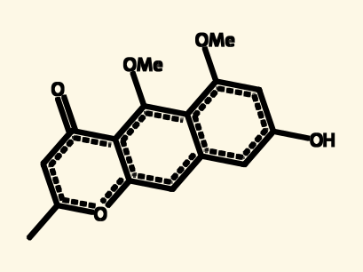 COc1cc(O)cc2cc3oc(C)cc(=O)c3c(OC)c12